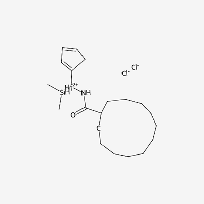 C[SiH](C)[Hf+2]([NH]C(=O)C1CCCCCCCCCCC1)[C]1=CC=CC1.[Cl-].[Cl-]